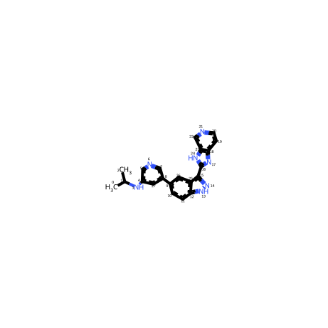 CC(C)Nc1cncc(-c2ccc3[nH]nc(-c4nc5ccncc5[nH]4)c3c2)c1